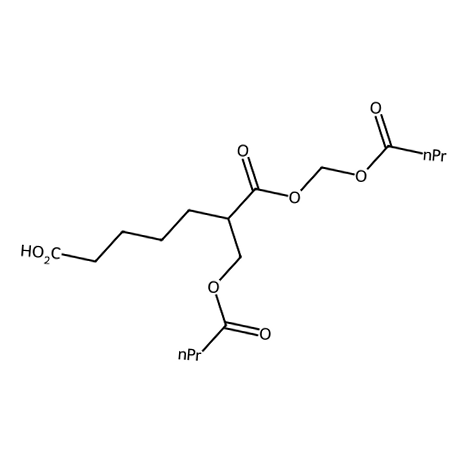 CCCC(=O)OCOC(=O)C(CCCCC(=O)O)COC(=O)CCC